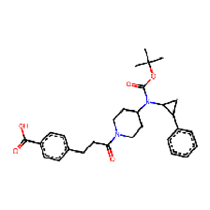 CC(C)(C)OC(=O)N(C1CCN(C(=O)CCc2ccc(C(=O)O)cc2)CC1)C1CC1c1ccccc1